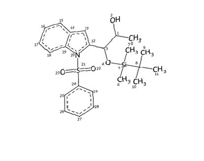 CC(O)C(O[Si](C)(C)C(C)(C)C)c1cc2ccccc2n1S(=O)(=O)c1ccccc1